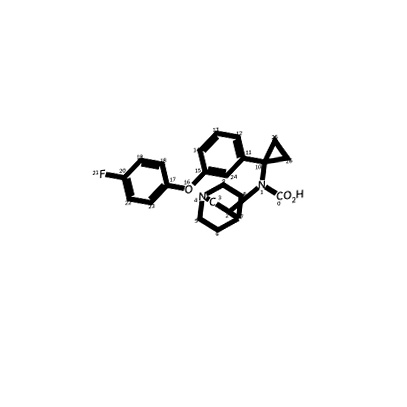 O=C(O)N(C1CN2CCC1CC2)C1(c2cccc(Oc3ccc(F)cc3)c2)CC1